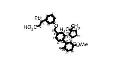 CC[C@@H](CC(=O)O)c1cccc(OCc2ccc(-c3cc(OC)ccc3F)c([C@@H]3CCCC3(C)C)c2)c1